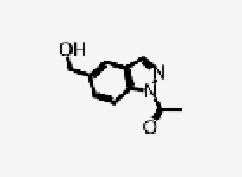 CC(=O)n1ncc2cc(CO)ccc21